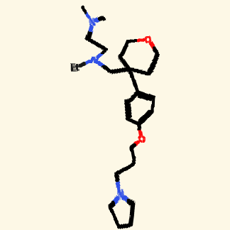 CCN(CCN(C)C)CC1(c2ccc(OCCCN3CCCC3)cc2)CCOCC1